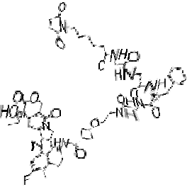 CC[C@@]1(O)C(=O)OCc2c1cc1n(c2=O)Cc2c-1nc1cc(F)c(C)c3c1c2[C@@H](NC(=O)[C@H]1C[C@@H](OCCNC(=O)CNC(=O)[C@H](Cc2ccccc2)NC(=O)CNC(=O)CNC(=O)CCCCCN2C(=O)C=CC2=O)C1)CC3